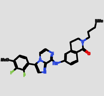 CNCCCN1CCc2cc(Nc3nccn4c(-c5ccc(OC)c(F)c5F)cnc34)ccc2C1=O